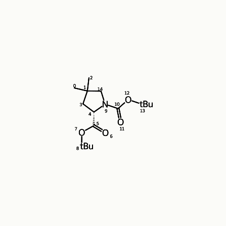 CC1(C)C[C@@H](C(=O)OC(C)(C)C)N(C(=O)OC(C)(C)C)C1